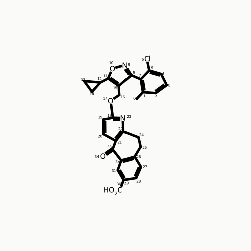 Cc1cccc(Cl)c1-c1noc(C2CC2)c1COc1ccc2c(n1)CCc1ccc(C(=O)O)cc1C2=O